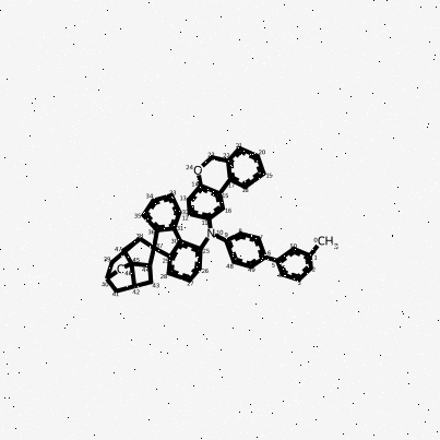 Cc1cccc(-c2ccc(N(c3ccc4c(c3)-c3ccccc3CO4)c3cccc4c3-c3ccccc3C43C4CC5CC6CC3C6(C5)C4)cc2)c1